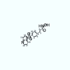 O=C(/C=C/c1ccc(S(=O)(=O)n2ccc3ncccc32)cc1)NO